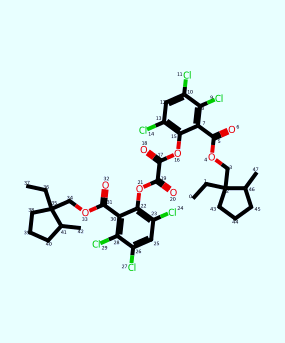 CCC1(COC(=O)c2c(Cl)c(Cl)cc(Cl)c2OC(=O)C(=O)Oc2c(Cl)cc(Cl)c(Cl)c2C(=O)OCC2(CC)CCCC2C)CCCC1C